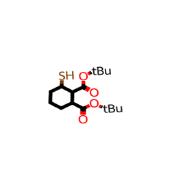 CC(C)(C)OC(=O)C1CCCC(S)C1C(=O)OC(C)(C)C